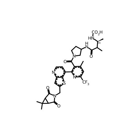 Cc1cc(C(F)(F)F)nc(-c2ccnc3cc(CN4C(=O)C5C(C4=O)C5(C)C)sc23)c1C(=O)N1CCC(NC(=O)C(C)[C@H](C)NC(=O)O)C1